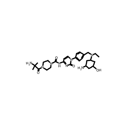 CCN(Cc1ccc(-n2ccc(NC(=O)N3CCN(C(=O)C(C)(C)N)CC3)nc2=O)cc1)C1CC(N)CC(O)C1